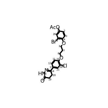 CC(=O)Oc1ccc(OCCCOc2ccc(C3=NNC(=O)CC3)cc2Cl)c(Br)c1